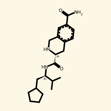 CC(C)[C@@H](CC1CCCC1)NC(=O)[C@H]1Cc2ccc(C(N)=O)cc2CN1